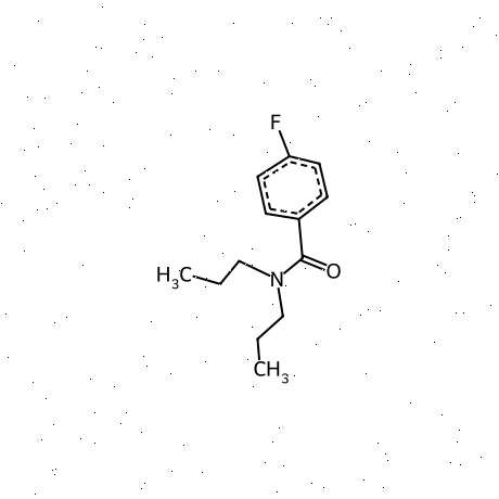 CCCN(CCC)C(=O)c1ccc(F)cc1